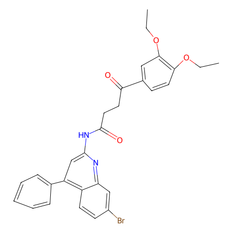 CCOc1ccc(C(=O)CCC(=O)Nc2cc(-c3ccccc3)c3ccc(Br)cc3n2)cc1OCC